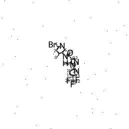 Cc1cc(Br)ncc1NC(=O)c1cnn(-c2ccc(C(F)(F)F)cn2)c1C